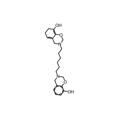 OC1=C2OCN(CCCCCCN3COc4c(O)cccc4C3)CC2=CCC1